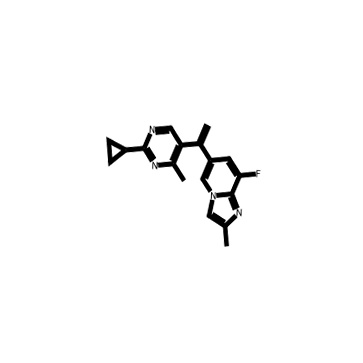 C=C(c1cc(F)c2nc(C)cn2c1)c1cnc(C2CC2)nc1C